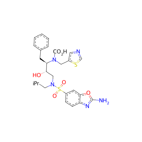 CC(C)CN(C[C@H](O)[C@@H](Cc1ccccc1)N(Cc1cncs1)C(=O)O)S(=O)(=O)c1ccc2nc(N)oc2c1